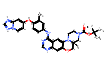 Cc1cc(Nc2ncnc3cc4c(cc23)N2CCN(C(=O)OC(C)(C)C)C[C@@H]2CO4)ccc1Oc1ccn2ncnc2c1